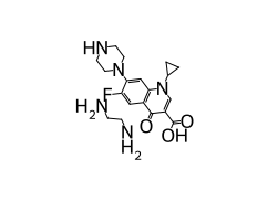 NCCN.O=C(O)c1cn(C2CC2)c2cc(N3CCNCC3)c(F)cc2c1=O